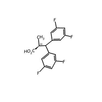 C[C@H](C(=O)O)C(c1cc(F)cc(F)c1)c1cc(F)cc(F)c1